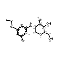 [2H]c1cc(OCC)nc(N[C@H]2CO[C@H](CO)[C@H](O)[C@@H]2O)n1